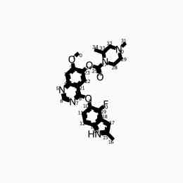 COc1cc2ncnc(Oc3ccc4[nH]c(C)cc4c3F)c2cc1OC(=O)N1CCN(C)CC1C